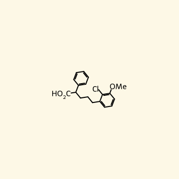 COc1cccc(CCCC(C(=O)O)c2ccccc2)c1Cl